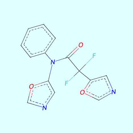 O=C(N(c1ccccc1)c1cnco1)C(F)(F)c1cnco1